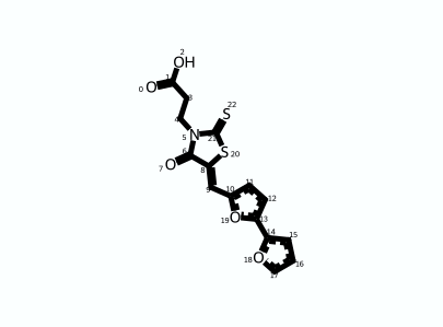 O=C(O)CCN1C(=O)C(=Cc2ccc(-c3ccco3)o2)SC1=S